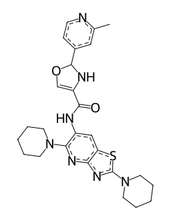 Cc1cc(C2NC(C(=O)Nc3cc4sc(N5CCCCC5)nc4nc3N3CCCCC3)=CO2)ccn1